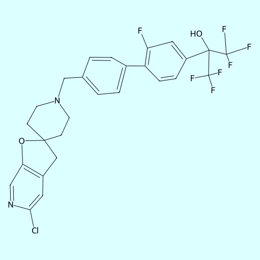 OC(c1ccc(-c2ccc(CN3CCC4(CC3)Cc3cc(Cl)ncc3O4)cc2)c(F)c1)(C(F)(F)F)C(F)(F)F